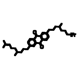 CC(C)=CCCC(C)CCCc1ccc2c(c1)C(=O)c1ccc(CCCC(C)CCCC(C)C)cc1C2=O